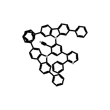 N#Cc1c(-n2c3cc(-c4ccccc4)ccc3c3ccc(-c4ccccc4)cc32)cc(-c2cccnc2-c2ccccc2)cc1-n1c2cc(-c3ccccc3)ccc2c2ccc(-c3ccccc3)cc21